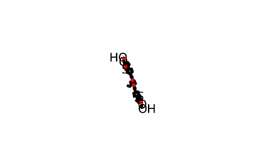 CCc1cc(C#Cc2ccc3c(c2)sc2cc(OCO)ccc23)ccc1C#Cc1ccc2c(c1)sc1cc(OCO)ccc12